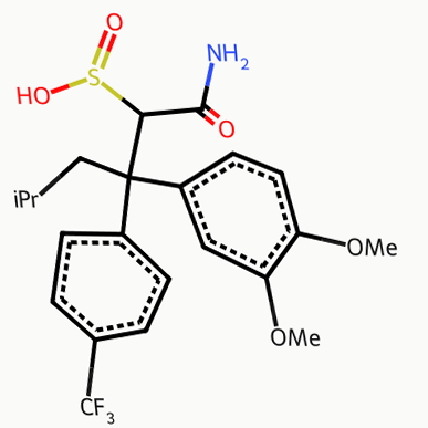 COc1ccc(C(CC(C)C)(c2ccc(C(F)(F)F)cc2)C(C(N)=O)S(=O)O)cc1OC